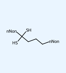 CCCCCCCCCCCCC(S)(S)CCCCCCCCC